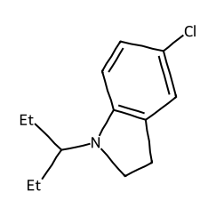 CCC(CC)N1CCc2cc(Cl)ccc21